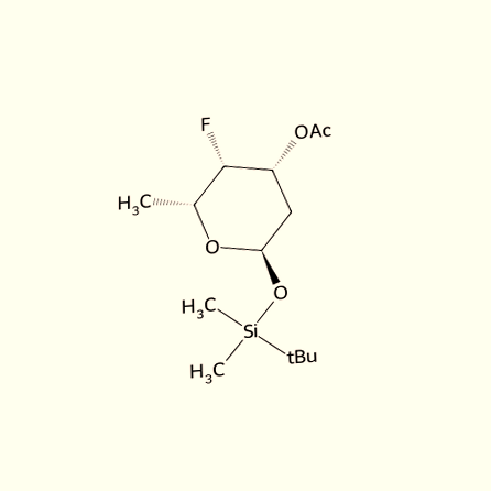 CC(=O)O[C@@H]1C[C@@H](O[Si](C)(C)C(C)(C)C)O[C@H](C)[C@@H]1F